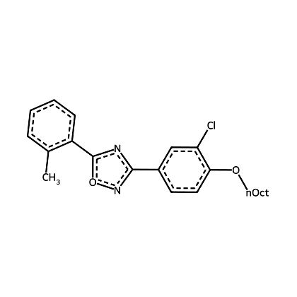 CCCCCCCCOc1ccc(-c2noc(-c3ccccc3C)n2)cc1Cl